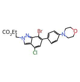 CCOC(=O)Cn1cc2c(Cl)cc(-c3ccc(N4CCOCC4)cc3)c(Br)c2n1